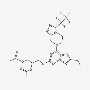 CCc1cc2c(N3CCn4c(nnc4C(F)(F)C(F)(F)F)C3)nc(OCC(COC(C)=O)OC(C)=O)nc2s1